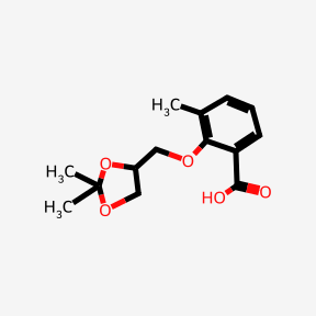 Cc1cccc(C(=O)O)c1OCC1COC(C)(C)O1